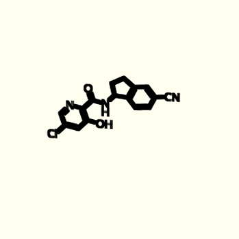 N#Cc1ccc2c(c1)CCC2NC(=O)c1ncc(Cl)cc1O